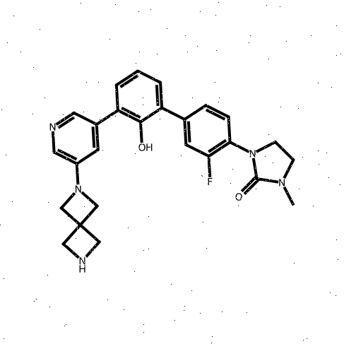 CN1CCN(c2ccc(-c3cccc(-c4cncc(N5CC6(CNC6)C5)c4)c3O)cc2F)C1=O